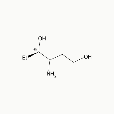 CC[C@@H](O)C(N)CCO